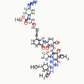 C#Cc1ccc(Nc2ncc3c(n2)N(C2CCCC2)[C@H](CCN2C(=O)CCC(N4Cc5c(C#CCCOCCN(C(=O)CO)C6CCC(N=[N+]=[N-])CC6)cccc5C4=O)C2=O)C(=O)N3C)c(OC)c1